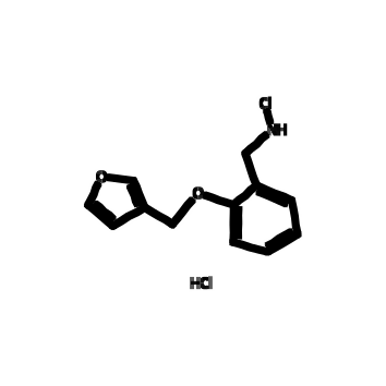 Cl.ClNCc1ccccc1OCc1ccoc1